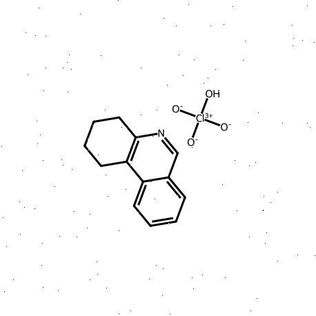 [O-][Cl+3]([O-])([O-])O.c1ccc2c3c(ncc2c1)CCCC3